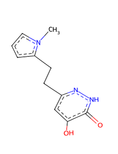 Cn1cccc1CCc1cc(O)c(=O)[nH]n1